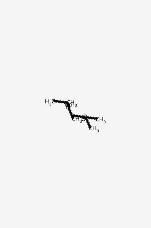 CCCCCCCCCCC(C)OC(=O)OCCCCCCN(CC)CCCCCCCC(=O)OC(CCCCCCCC)CCCCCCCC